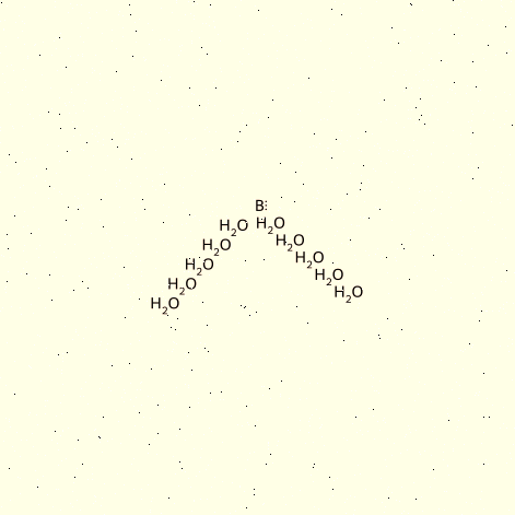 O.O.O.O.O.O.O.O.O.O.[B]